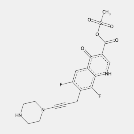 CS(=O)(=O)OC(=O)c1c[nH]c2c(F)c(CC#CN3CCNCC3)c(F)cc2c1=O